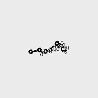 O=C1CCC(N2C(=O)c3cccc(NCc4cnn(C5CCN(C(=O)c6cccc(C#Cc7ccccc7)c6)CC5)c4)c3C2=O)C(=O)N1